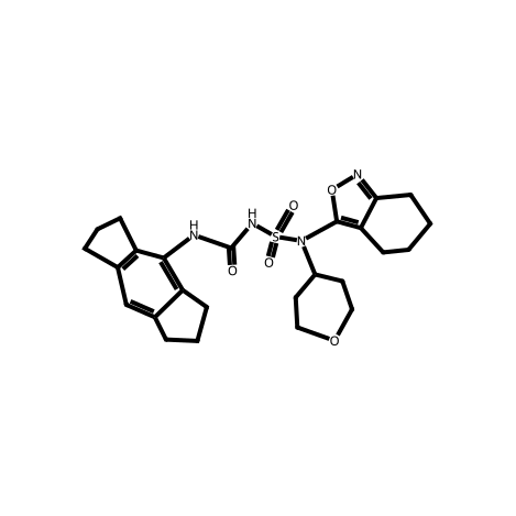 O=C(Nc1c2c(cc3c1CCC3)CCC2)NS(=O)(=O)N(c1onc2c1CCCC2)C1CCOCC1